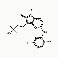 Cn1c(=O)n(CCC(C)(C)O)c2cc(Nc3nc(F)ncc3F)ccc21